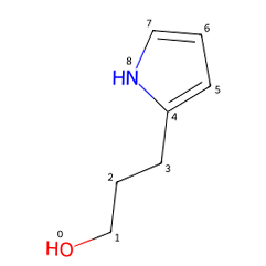 OCCCc1ccc[nH]1